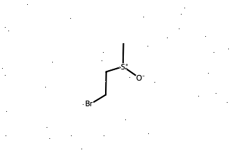 C[S+]([O-])CCBr